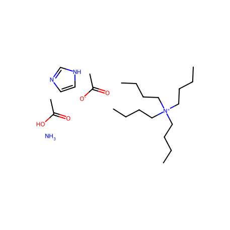 CC(=O)O.CC(=O)[O-].CCCC[N+](CCCC)(CCCC)CCCC.N.c1c[nH]cn1